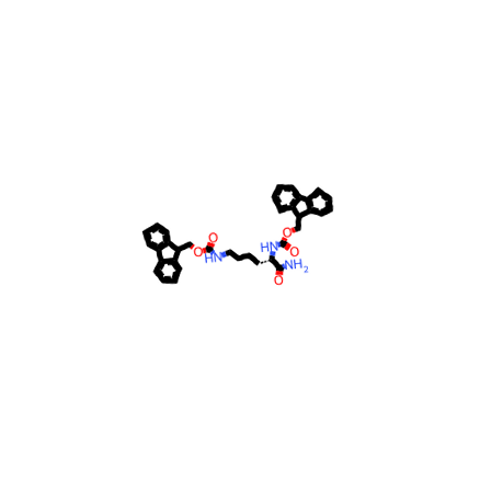 NC(=O)[C@H](CCCCNC(=O)OCC1c2ccccc2-c2ccccc21)NC(=O)OCC1c2ccccc2-c2ccccc21